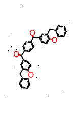 O=C(c1ccc(C(=O)c2ccc3c(c2)Cc2ccccc2O3)cc1)c1ccc2c(c1)Cc1ccccc1O2